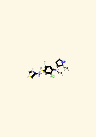 C[C@H]1NCC[C@H]1N(C)c1cc(F)c(SNc2cscn2)cc1Cl